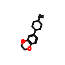 CC(=O)C1CCC(c2ccc3c(c2)OCCO3)CC1